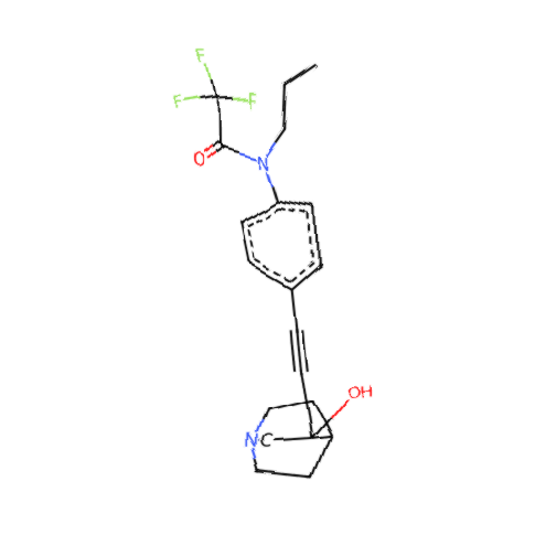 CCCN(C(=O)C(F)(F)F)c1ccc(C#CC2(O)CN3CCC2CC3)cc1